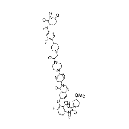 CO[C@@H]1CCN(S(=O)(=O)Nc2ccc(F)c(Oc3ccc4ncn(-c5cnc(N6CCN(C(=O)CN7CCC(c8ccc(N[C@H]9CCC(=O)NC9=O)cc8F)CC7)CC6)nc5)c(=O)c4c3)c2C#N)C1